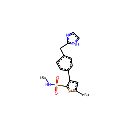 CCCCc1cc(-c2ccc(Cc3ncc[nH]3)cc2)c(S(=O)(=O)NC(C)(C)C)s1